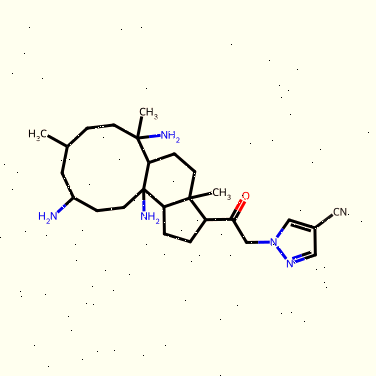 CC1CCC(C)(N)C2CCC3(C)C(C(=O)Cn4cc(C#N)cn4)CCC3C2(N)CCC(N)C1